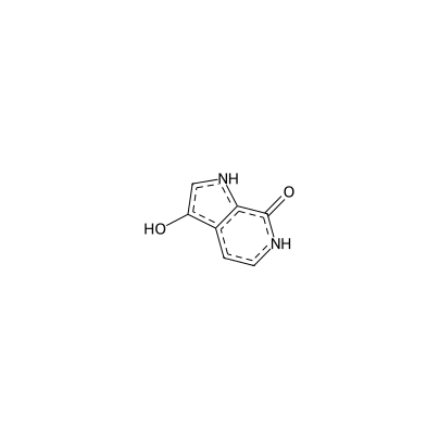 O=c1[nH]ccc2c(O)c[nH]c12